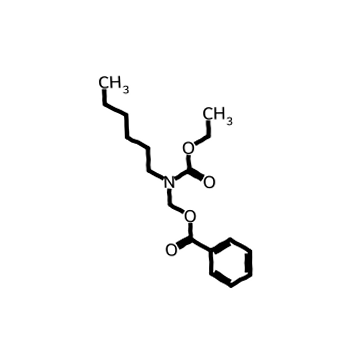 CCCCCCN(COC(=O)c1ccccc1)C(=O)OCC